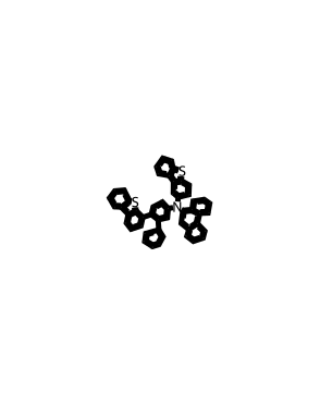 c1ccc(-c2cc(N(c3ccc4sc5ccccc5c4c3)c3cc4ccccc4c4ccccc34)ccc2-c2cccc3c2sc2ccccc23)cc1